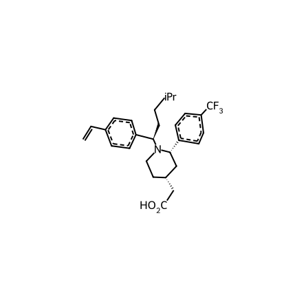 C=Cc1ccc([C@@H](CCC(C)C)N2CC[C@@H](CC(=O)O)C[C@H]2c2ccc(C(F)(F)F)cc2)cc1